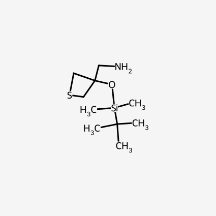 CC(C)(C)[Si](C)(C)OC1(CN)CSC1